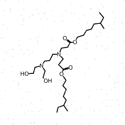 CCC(C)CCCCCOC(=O)CCN(CCCN(CCO)CCO)CCC(=O)OCCCCCC(C)CC